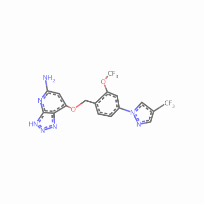 Nc1cc(OCc2ccc(-n3cc(C(F)(F)F)cn3)cc2OC(F)(F)F)c2nn[nH]c2n1